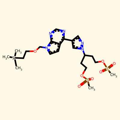 C[Si](C)(C)CCOCn1ccc2c(-c3cnn(C(CCOS(C)(=O)=O)CCOS(C)(=O)=O)c3)ncnc21